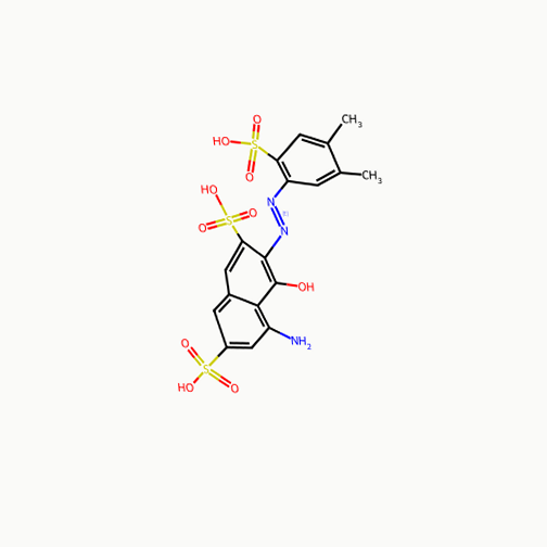 Cc1cc(/N=N/c2c(S(=O)(=O)O)cc3cc(S(=O)(=O)O)cc(N)c3c2O)c(S(=O)(=O)O)cc1C